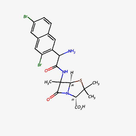 CC1(C)S[C@H]2N(C(=O)C2(C)NC(=O)C(N)c2cc3ccc(Br)cc3cc2Br)[C@H]1C(=O)O